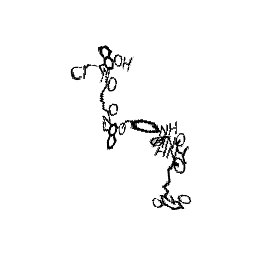 CC(C)C(NC(=O)CCCCCN1C(=O)C=CC1=O)C(=O)NCC(=O)Nc1ccc(COc2cc3c(c4ccccc24)CCN3C(=O)CCCC(=O)N2C[C@@H](CCl)c3c2cc(O)c2ccccc32)cc1